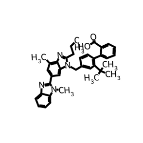 CCCc1nc2c(C)cc(-c3nc4ccccc4n3C)cc2n1Cc1ccc(-c2ccccc2C(=O)O)c(C(C)(C)C)c1